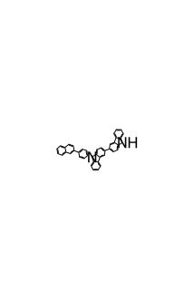 c1ccc2cc(-c3ccc(-n4c5ccccc5c5cc(-c6ccc7[nH]c8ccccc8c7c6)ccc54)cc3)ccc2c1